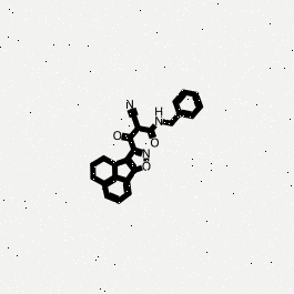 N#CC(C(=O)NCc1ccccc1)C(=O)c1noc2c1C1CCCc3cccc-2c31